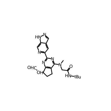 CN(CC(=O)NC(C)(C)C)c1nc(-c2cc3cn[nH]c3cn2)nc2c1CCC2.O=CO